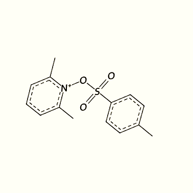 Cc1ccc(S(=O)(=O)O[n+]2c(C)cccc2C)cc1